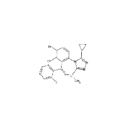 C[C@@H]1N=C(c2ncccc2F)c2c(ccc(Br)c2Cl)-n2c(C3CC3)nnc21